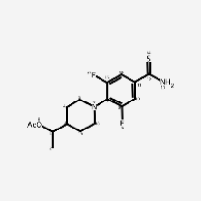 CC(=O)OC(C)C1CCN(c2c(F)cc(C(N)=S)cc2F)CC1